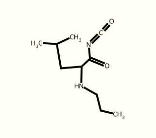 CCCNC(CC(C)C)C(=O)N=C=O